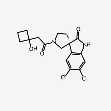 O=C(CC1(O)CCC1)N1CC[C@]2(C1)C(=O)Nc1cc(Cl)c(Cl)cc12